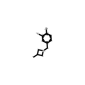 CC1CN(Cc2ccc(Br)c(F)c2)C1